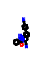 N#Cc1ccc(-c2ccc(C[C@@H](C#N)NC(=O)C3(N)CCCCC3)cc2)cc1